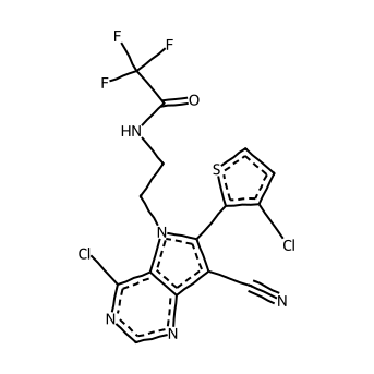 N#Cc1c(-c2sccc2Cl)n(CCNC(=O)C(F)(F)F)c2c(Cl)ncnc12